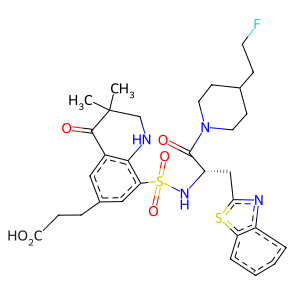 CC1(C)CNc2c(cc(CCC(=O)O)cc2S(=O)(=O)N[C@@H](Cc2nc3ccccc3s2)C(=O)N2CCC(CCF)CC2)C1=O